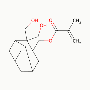 C=C(C)C(=O)OCC12CC3CC(CC(C3)C1(CO)CO)C2